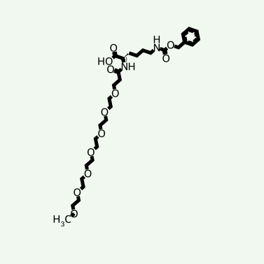 COCCOCCOCCOCCOCCOCCOCCC(=O)N[C@@H](CCCCNC(=O)OCc1ccccc1)C(=O)O